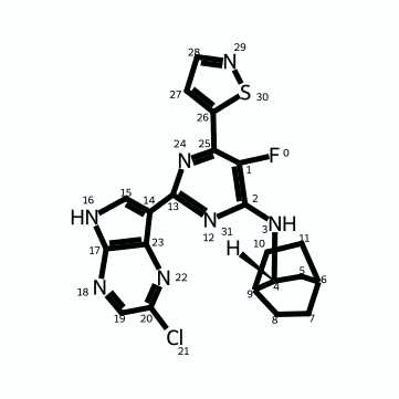 Fc1c(N[C@@H]2CC3CCC2CC3)nc(-c2c[nH]c3ncc(Cl)nc23)nc1-c1ccns1